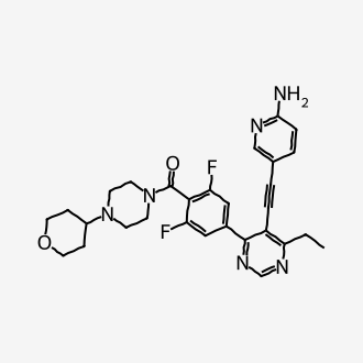 CCc1ncnc(-c2cc(F)c(C(=O)N3CCN(C4CCOCC4)CC3)c(F)c2)c1C#Cc1ccc(N)nc1